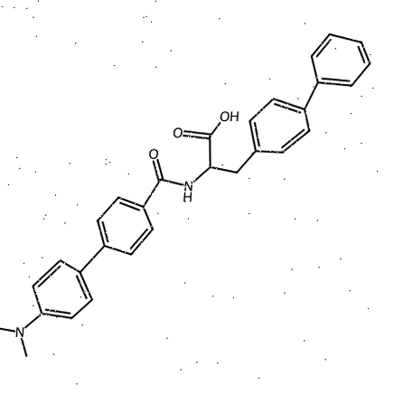 CN(C)c1ccc(-c2ccc(C(=O)NC(Cc3ccc(-c4ccccc4)cc3)C(=O)O)cc2)cc1